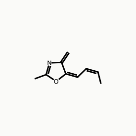 C=c1nc(C)o/c1=C/C=C\C